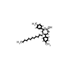 CCCCCCCCCCCCN1CC(c2ccc(C)cc2)OB(O)OCC1c1ccc(C)cc1